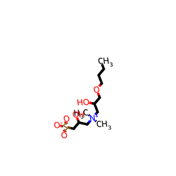 CCCCOCC(O)C[N+](C)(C)CC(O)CS(=O)(=O)[O-]